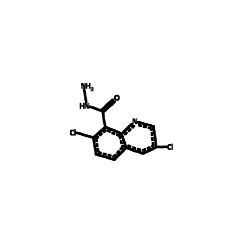 NNC(=O)c1c(Cl)ccc2cc(Cl)cnc12